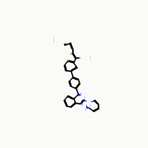 C=C/C=C\c1sc2ccc(-c3ccc(-c4nc5c(nc6ccccn65)c5ccccc45)cc3)cc2c1C